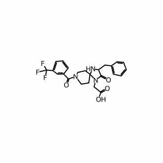 O=C(O)CN1C(=O)C(Cc2ccccc2)NC12CCN(C(=O)c1cccc(C(F)(F)F)c1)CC2